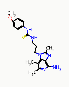 COc1ccc(NC(=S)NCCCn2c(C)nc3c(N)nc(C)c(C)c32)cc1